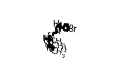 Cc1c(-c2nnc(SCCCN3C[C@@H]4CC4(c4ccc(Br)cc4)C3)n2C)nnn1C